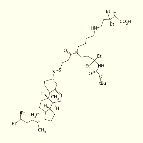 CCC(CCC(C)[C@H]1CC[C@H]2[C@@H]3CC=C4C[C@@H](SSCCC(=O)N(CCCCNCCC(CC)(CC)NC(=O)O)CCC(CC)(CC)NC(=O)OC(C)(C)C)CC[C@]4(C)[C@H]3CC[C@]12C)C(C)C